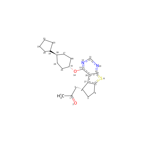 CC(=O)C[C@H]1CCc2sc3ncnc(O[C@H]4CC[C@H](C5CCCC5)CC4)c3c21